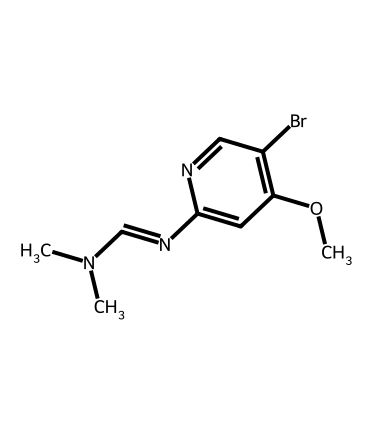 COc1cc(N=CN(C)C)ncc1Br